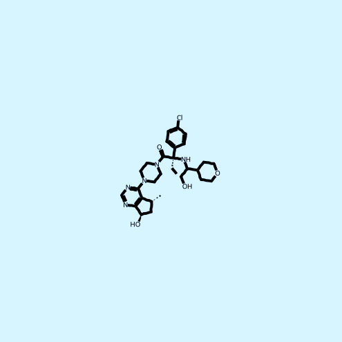 CC[C@](NC(CO)C1CCOCC1)(C(=O)N1CCN(c2ncnc3c2[C@H](C)C[C@H]3O)CC1)c1ccc(Cl)cc1